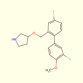 COc1ccc(-c2ccc(F)cc2COC2CCNC2)cc1F